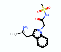 CS(=O)(=O)NC(=O)Cn1cc(C[C@H](N)C(=O)O)c2ccccc21